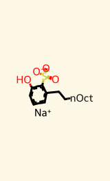 CCCCCCCCCCc1cccc(O)c1S(=O)(=O)[O-].[Na+]